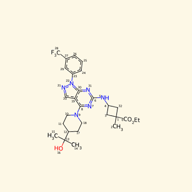 CCOC(=O)C1(C)CC(Nc2nc(N3CCC(C(C)(C)O)CC3)c3cnn(-c4cccc(C(F)(F)F)c4)c3n2)C1